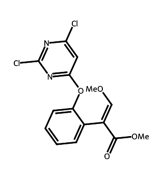 CO/C=C(/C(=O)OC)c1ccccc1Oc1cc(Cl)nc(Cl)n1